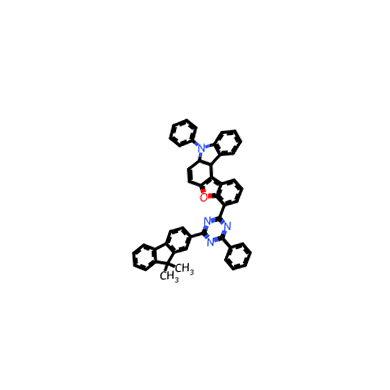 CC1(C)c2ccccc2-c2ccc(-c3nc(-c4ccccc4)nc(-c4cccc5c6c(oc45)C=CC4C6c5ccccc5N4c4ccccc4)n3)cc21